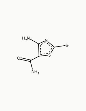 NC(=O)c1sc([S])nc1N